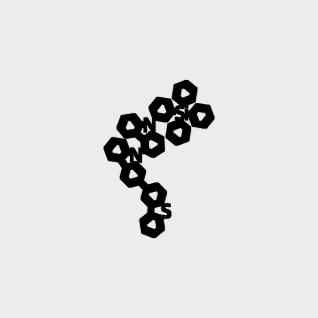 c1ccc([Si](c2ccccc2)(c2ccccc2)c2cccc(-n3c4ccccc4c4c(-n5c6ccccc6c6ccc(-c7ccc8sc9ccccc9c8c7)cc65)cccc43)c2)cc1